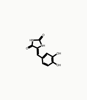 O=C1NC(=O)C(=Cc2ccc(O)c(O)c2)N1